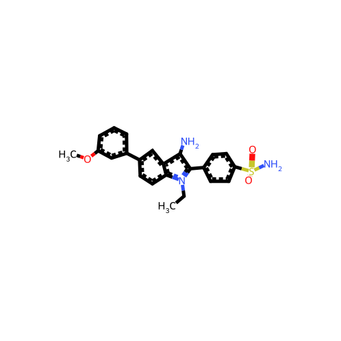 CCn1c(-c2ccc(S(N)(=O)=O)cc2)c(N)c2cc(-c3cccc(OC)c3)ccc21